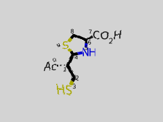 CC(=O)[C@@H](CS)C1N[C@H](C(=O)O)CS1